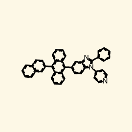 c1ccc(-c2nc3cc(-c4c5ccccc5c(-c5ccc6ccccc6c5)c5ccccc45)ccc3n2-c2ccncc2)cc1